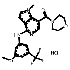 COc1cc(Nc2ncc(C(=O)N3CCOCC3)c3c2ccn3C)cc(C(F)(F)F)c1.Cl